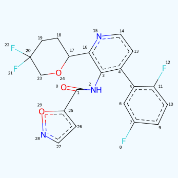 O=C(Nc1c(-c2cc(F)ccc2F)ccnc1C1CCC(F)(F)CO1)c1ccno1